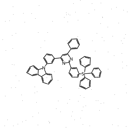 c1ccc(-c2cc(-c3cccc(-n4c5ccccc5c5ccccc54)c3)nc(-c3cccc([Si](c4ccccc4)(c4ccccc4)c4ccccc4)c3)n2)cc1